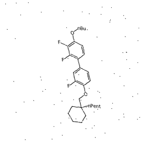 CCCCCC1(COc2ccc(-c3ccc(OCCCC)c(F)c3F)cc2F)CCCCC1